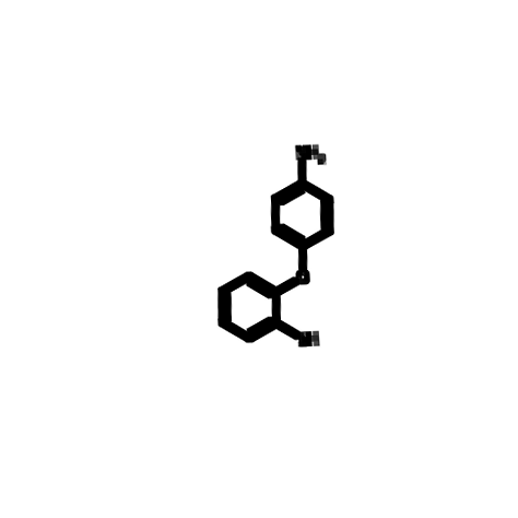 Nc1ccc(Oc2ccccc2S)cc1